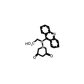 O=C(O)CN(c1c2ccccc2nc2ccccc12)N1CC(=O)CC(=O)C1